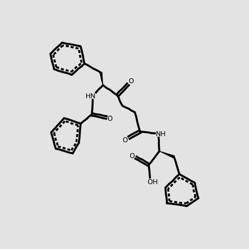 O=C(CCC(=O)[C@H](Cc1ccccc1)NC(=O)c1ccccc1)N[C@@H](Cc1ccccc1)C(=O)O